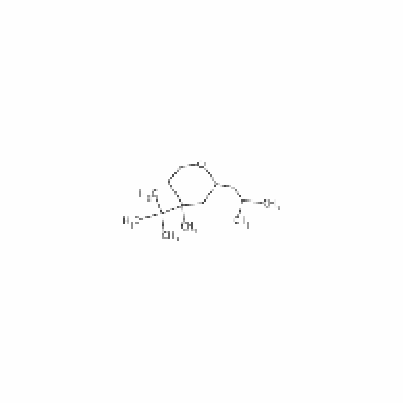 CC(C)CC1CC(C)(C(C)(C)C)CCO1